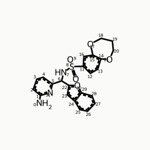 Nc1cccc(C(NS(=O)(=O)c2ccc3c(c2)OCCCO3)c2cc3ccccc3o2)n1